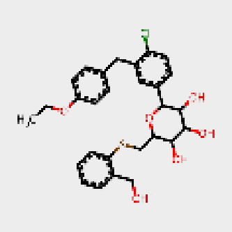 CCOc1ccc(Cc2cc(C3OC(CSc4ccccc4CO)C(O)C(O)C3O)ccc2Cl)cc1